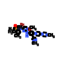 COc1cc(N2CCC(N3CCN(C)CC3)CC2)c(-c2cnn(C)c2)cc1Nc1ncc(Br)c(Nc2ccc(C)c(C)c2P(C)(C)=O)n1